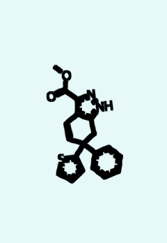 COC(=O)c1n[nH]c2c1C=CC(c1ccccc1)(c1cccs1)C2